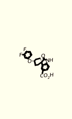 O=C(O)c1ccc2c(c1)[C@]1(CC[C@@H](Oc3ccc(F)c(F)c3)CC1)C(=O)N2